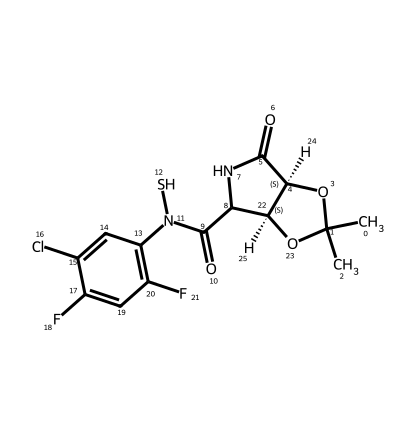 CC1(C)O[C@@H]2C(=O)NC(C(=O)N(S)c3cc(Cl)c(F)cc3F)[C@@H]2O1